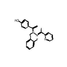 C=C(c1ccc(O)cc1)N(Cc1ccccc1F)/N=C(\C)c1ccccn1